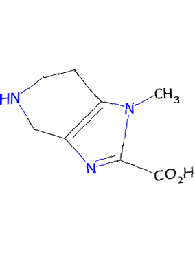 Cn1c(C(=O)O)nc2c1CCNC2